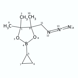 CC1(C)OB(C2CC2)OC1(C)CN=[N+]=[N-]